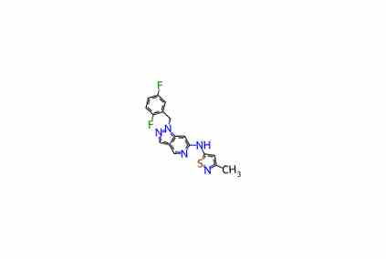 Cc1cc(Nc2cc3c(cn2)cnn3Cc2cc(F)ccc2F)sn1